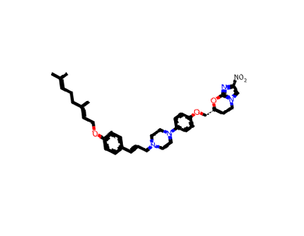 CC(C)=CCC/C(C)=C/COc1ccc(/C=C/CN2CCN(c3ccc(OC[C@H]4CCn5cc([N+](=O)[O-])nc5O4)cc3)CC2)cc1